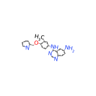 Cc1cc(Nc2ncnc3ccc(N)cc23)ccc1OCc1ccccn1